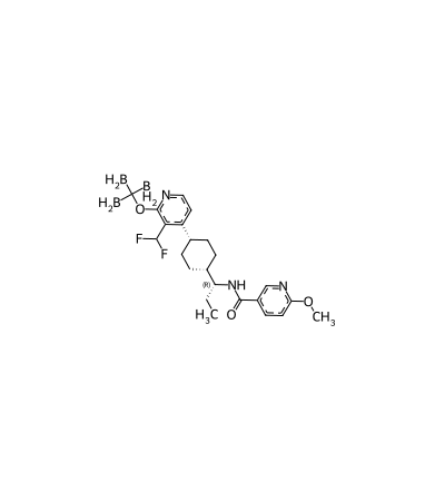 BC(B)(B)Oc1nccc([C@H]2CC[C@@H]([C@@H](CC)NC(=O)c3ccc(OC)nc3)CC2)c1C(F)F